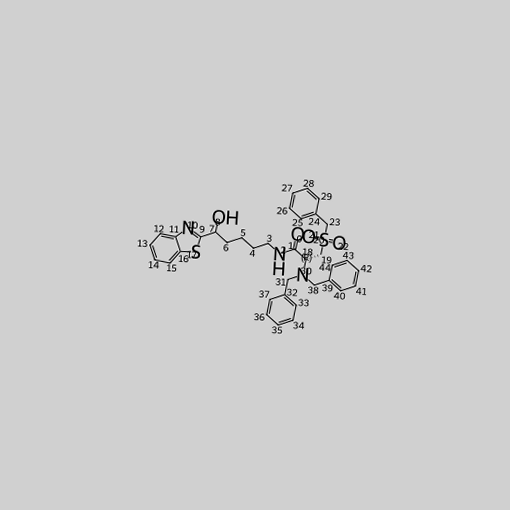 O=C(NCCCCC(O)c1nc2ccccc2s1)[C@H](CS(=O)(=O)Cc1ccccc1)N(Cc1ccccc1)Cc1ccccc1